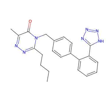 CCCCc1nnc(C)c(=O)n1Cc1ccc(-c2ccccc2-c2nnn[nH]2)cc1